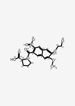 COc1cc2cc(C(=O)N3CCC[C@H]3C(=O)O)c([N+](=O)[O-])cc2cc1OCCCl